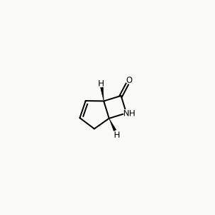 O=C1N[C@@H]2CC=C[C@H]12